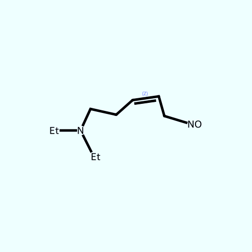 CCN(CC)CC/C=C\CN=O